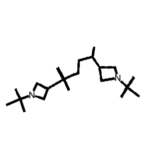 CC(CCC(C)(C)C1CN(C(C)(C)C)C1)C1CN(C(C)(C)C)C1